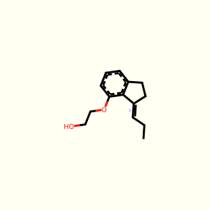 CC/C=C1\CCc2cccc(OCCO)c21